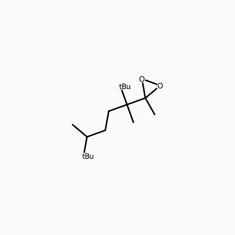 CC(CCC(C)(C(C)(C)C)C1(C)OO1)C(C)(C)C